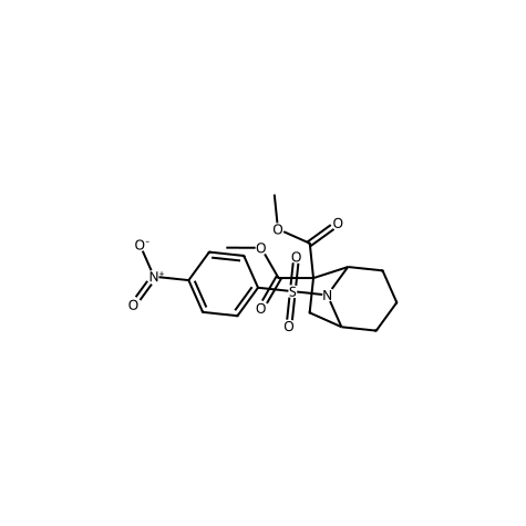 COC(=O)C1(C(=O)OC)CC2CCCC1N2S(=O)(=O)c1ccc([N+](=O)[O-])cc1